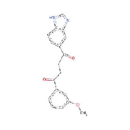 COc1cccc(C(=O)CCC(=O)c2ccc3[nH]cnc3c2)c1